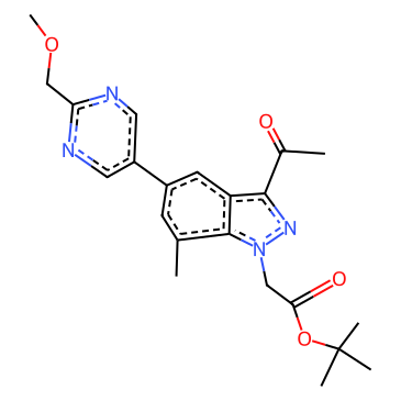 COCc1ncc(-c2cc(C)c3c(c2)c(C(C)=O)nn3CC(=O)OC(C)(C)C)cn1